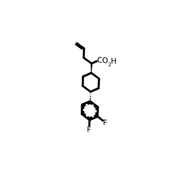 C=CCC(C(=O)O)[C@H]1CC[C@H](c2ccc(F)c(F)c2)CC1